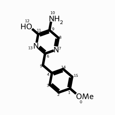 COc1ccc(Cc2ncc(N)c(O)n2)cc1